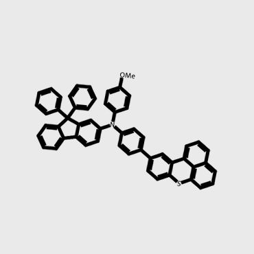 COc1ccc(N(c2ccc(-c3ccc4c(c3)-c3cccc5cccc(c35)S4)cc2)c2ccc3c(c2)C(c2ccccc2)(c2ccccc2)c2ccccc2-3)cc1